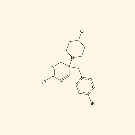 CC(C)c1ccc(CC2(N3CCC(O)CC3)C=NC(N)=NC2)cc1